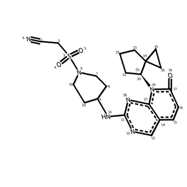 N#CCS(=O)(=O)N1CCC(Nc2ncc3ccc(=O)n([C@H]4CCCC45CC5)c3n2)CC1